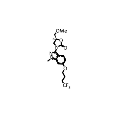 COC[C@@H]1CN(c2nn(C)c3cc(OCCCC(F)(F)F)ccc23)C(=O)O1